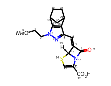 COCCn1nc(/C=C2/C(=O)N3C(C(=O)O)=CS[C@H]23)c2c1C1CCC2C1